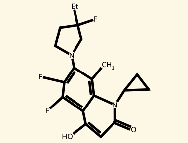 CCC1(F)CCN(c2c(F)c(F)c3c(O)cc(=O)n(C4CC4)c3c2C)C1